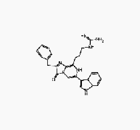 N=C(N)NCCCc1[nH]c(C2=CNC3C=CC=CC23)cn2c(=O)c(Cc3ccccc3)nc1-2